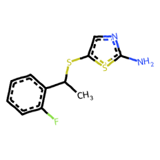 CC(Sc1cnc(N)s1)c1ccccc1F